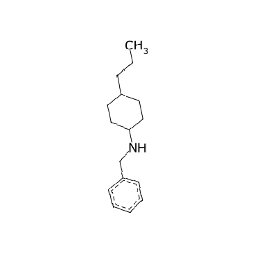 CCCC1CCC(NCc2ccccc2)CC1